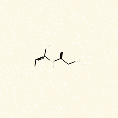 CC=C(C)NC(=O)CN